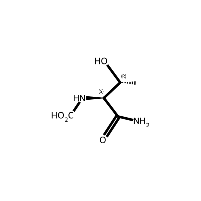 C[C@@H](O)[C@H](NC(=O)O)C(N)=O